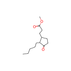 CCCCCC1C(=O)CCC1CCC(=O)OC